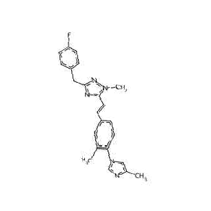 Cc1cn(-c2ccc(/C=C/c3nc(Cc4ccc(F)cc4)nn3C)cc2C)cn1